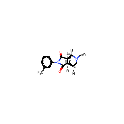 CCCN1C[C@@H]2CC[C@H]1[C@@H]1C(=O)N(c3cccc(C(F)(F)F)c3)C(=O)[C@H]21